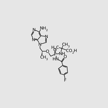 C[C@@H](Cn1cnc2c(N)ncnc21)OCP(=O)(NC(=O)c1ccc(F)cc1)NC(C)(C)C(=O)O